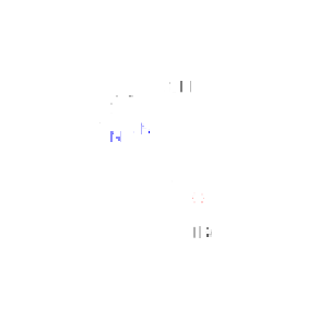 Cc1ccnn1CCOC(C)(C)C